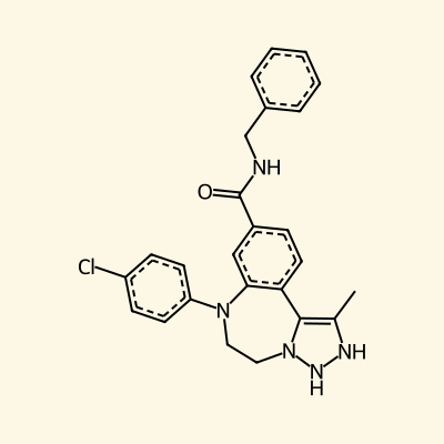 CC1=C2c3ccc(C(=O)NCc4ccccc4)cc3N(c3ccc(Cl)cc3)CCN2NN1